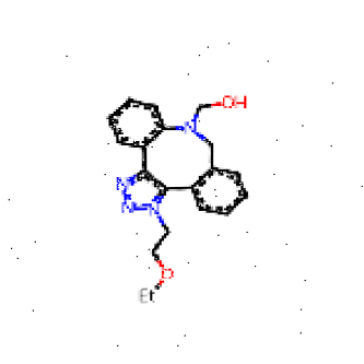 CCOCCn1nnc2c1-c1ccccc1CN(CO)c1ccccc1-2